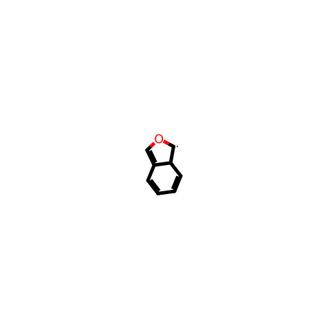 [CH]1OC=C2C=CC=CC12